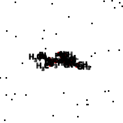 COc1nc2c(cc1Oc1cc(N3CCC4(CC3)CC(N3CCN(Cc5ccnc(C(C)(F)F)c5)C[C@H]3c3ccccc3C(C)C)C4)ccc1C(=O)NS(=O)(=O)c1cnc(NC[C@H]3CC[C@](C)(O)CC3)c([NH+](C)[O-])c1)C(F)=CC2